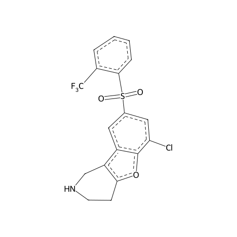 O=S(=O)(c1cc(Cl)c2oc3c(c2c1)CNCC3)c1ccccc1C(F)(F)F